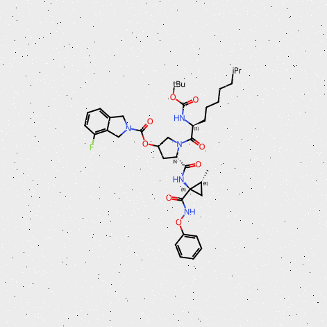 CC(C)CCCCC[C@H](NC(=O)OC(C)(C)C)C(=O)N1CC(OC(=O)N2Cc3cccc(F)c3C2)C[C@H]1C(=O)N[C@]1(C(=O)NOc2ccccc2)C[C@H]1C